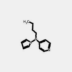 CCCCN(c1ccncc1)n1cccc1